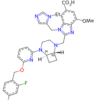 CCn1cncc1Cn1c(CN2CCN(c3cccc(OCc4ccc(Cl)cc4F)n3)[C@@H]3CC[C@H]32)nc2c(OC)cc(C(=O)O)cc21